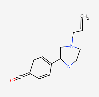 C=CCN1CC[N]C(C2=CCC(=C=O)C=C2)C1